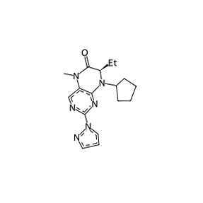 CC[C@@H]1C(=O)N(C)c2cnc(-n3cccn3)nc2N1C1CCCC1